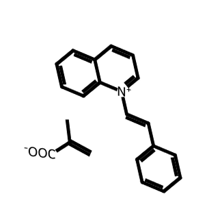 C(=C[n+]1cccc2ccccc21)c1ccccc1.C=C(C)C(=O)[O-]